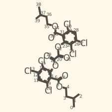 CC(C)CCOC(=O)c1c(Cl)cc(Cl)c(Cl)c1OC(=O)C(=O)Oc1c(Cl)c(Cl)cc(Cl)c1C(=O)OCCC(C)C